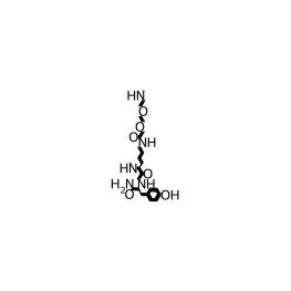 CNCCOCCOCC(=O)NCCCC[C@H](NC)C(=O)CN[C@@H](Cc1ccc(O)cc1)C(N)=O